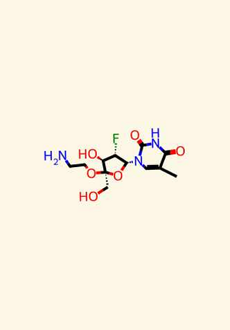 Cc1cn([C@@H]2O[C@@](CO)(OCCN)[C@@H](O)[C@@H]2F)c(=O)[nH]c1=O